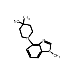 Cn1cnc2c(N3CCC(C)(C#N)CC3)cccc21